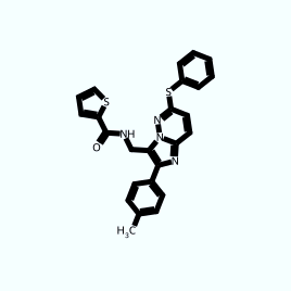 Cc1ccc(-c2nc3ccc(Sc4ccccc4)nn3c2CNC(=O)c2cccs2)cc1